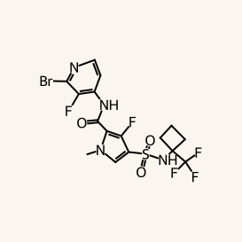 Cn1cc(S(=O)(=O)NC2(C(F)(F)F)CCC2)c(F)c1C(=O)Nc1ccnc(Br)c1F